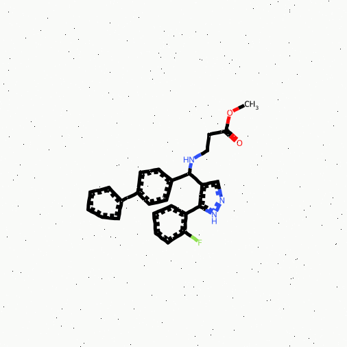 COC(=O)CCNC(c1ccc(-c2ccccc2)cc1)c1cn[nH]c1-c1ccccc1F